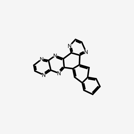 c1ccc2cc3c(cc2c1)c1nccnc1c1nc2nccnc2nc31